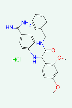 COc1ccc(C(Nc2ccc(C(=N)N)cc2)C(=O)NCc2ccccc2)c(OC)c1.Cl